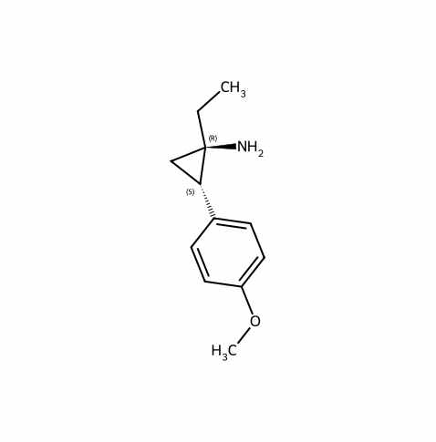 CC[C@@]1(N)C[C@H]1c1ccc(OC)cc1